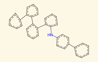 c1ccc(-c2ccc(Nc3ccccc3-c3ccccc3-c3ccccc3-c3ccccc3)cc2)cc1